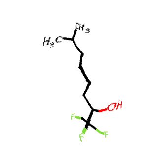 CC(C)CCCCC(O)C(F)(F)F